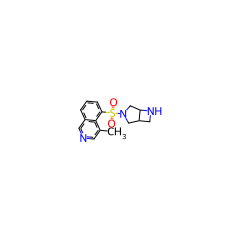 Cc1cncc2cccc(S(=O)(=O)N3CC4CNC4C3)c12